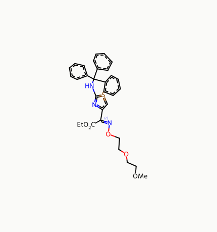 CCOC(=O)/C(=N\OCCOCCOC)c1csc(NC(c2ccccc2)(c2ccccc2)c2ccccc2)n1